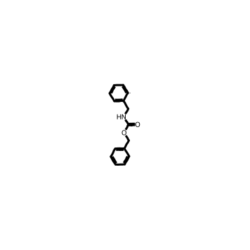 O=C(NCc1[c]cccc1)OCc1ccccc1